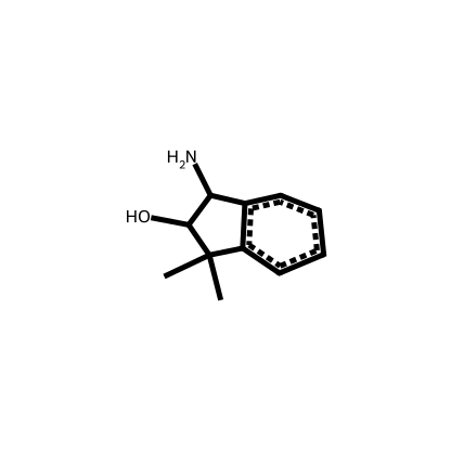 CC1(C)c2ccccc2C(N)C1O